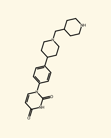 O=c1ccn(-c2ccc(C3CCN(CC4CCNCC4)CC3)cc2)c(=O)[nH]1